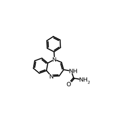 NC(=O)NC1=CN(c2ccccc2)c2ccccc2N=C1